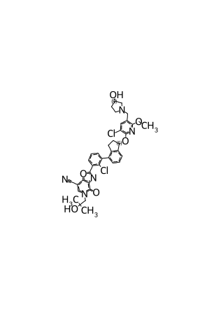 COc1nc(O[C@H]2CCc3c(-c4cccc(-c5nc6c(=O)n(CC(C)(C)O)cc(C#N)c6o5)c4Cl)cccc32)c(Cl)cc1CN1CC[C@@H](O)C1